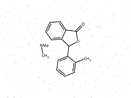 CNC.Cc1ccccc1C1OC(=O)c2ccccc21